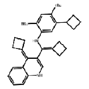 CC(C)(C)c1cc(C(C)(C)C)c(C2CCC2)cc1NC(C1=CNc2ccccc2C1=C1CCC1)=C1CCC1